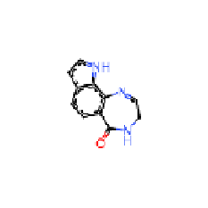 O=C1NCC=Nc2c1ccc1cc[nH]c21